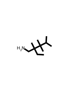 CCC(C)(CN)C(C)(C)C(C)C